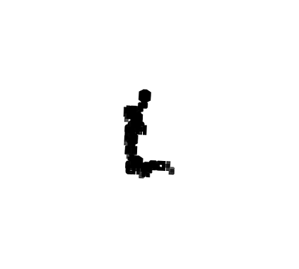 CCOc1cncc(-c2ccc(CN3CCN(c4ccc(C(=O)NS(=O)(=O)c5ccc(NCCSc6ccccc6)c(C(F)(F)F)c5)nn4)CC3)c(OC)c2)c1